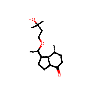 C[C@H]1CCC(=O)C2CCC([C@@H](C)OCCC(C)(C)O)C21